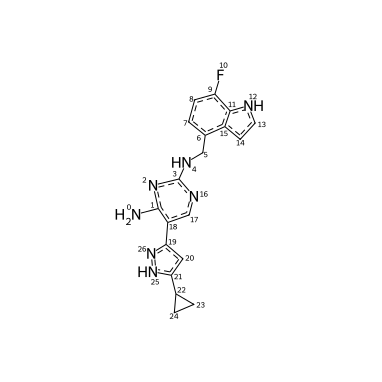 Nc1nc(NCc2ccc(F)c3[nH]ccc23)ncc1-c1cc(C2CC2)[nH]n1